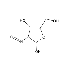 O=NC1C(O)OC(CO)C1O